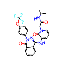 CC(C)NC(=O)Cn1cccc(Nc2nn(-c3ccc(OC(F)(F)F)cc3)c(=O)c3ccccc23)c1=O